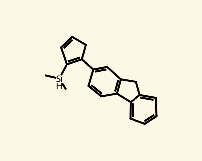 C[SiH](C)C1=C(c2[c]c3c(cc2)-c2ccccc2C3)CC=C1